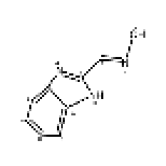 O/N=C/c1nc2ccccc2[nH]1